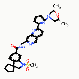 C[C@@H]1CN(c2cccc(-c3ccc4cnc(CNC(=O)c5ccc6c(c5)N(S(C)(=O)=O)CC65CCCC5)cc4n3)n2)C[C@H](C)O1